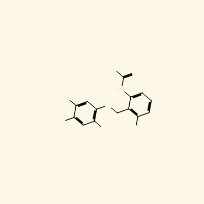 CCC(=O)Nc1cccc(C)c1COc1cc(C)c(C)cc1C